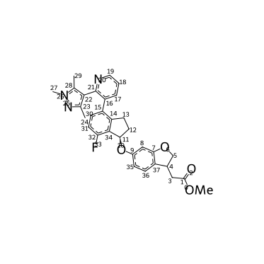 COC(=O)CC1COc2cc(O[C@@H]3CCc4c(-c5cccnc5-c5c(C)nn(C)c5C)ccc(F)c43)ccc21